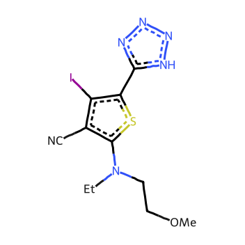 CCN(CCOC)c1sc(-c2nnn[nH]2)c(I)c1C#N